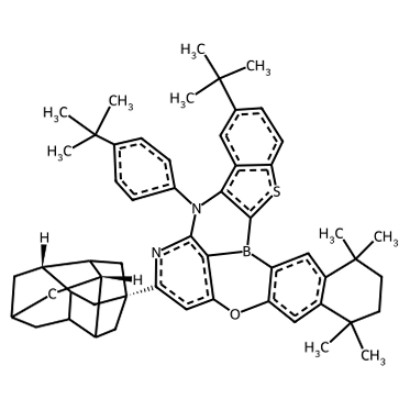 CC(C)(C)c1ccc(N2c3nc([C@]45CC6C7CC8C[C@@H]6C(C4)[C@@H](C8)C7C5)cc4c3B(c3cc5c(cc3O4)C(C)(C)CCC5(C)C)c3sc4ccc(C(C)(C)C)cc4c32)cc1